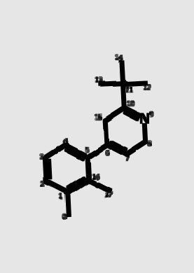 Cc1cccc(C2=CCN=C(C(C)(C)C)C2)c1C